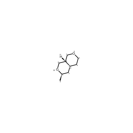 C[C@@H]1CN2CCOC[C@H]2CO1